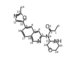 CCC(=O)N(c1cc2cc(-c3cnc(C)o3)ccc2cn1)C1COCCN1